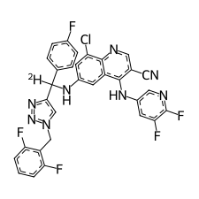 [2H]C(Nc1cc(Cl)c2ncc(C#N)c(Nc3cnc(F)c(F)c3)c2c1)(c1ccc(F)cc1)c1cn(Cc2c(F)cccc2F)nn1